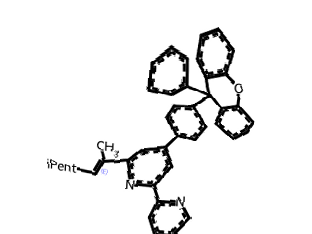 CCCC(C)/C=C(\C)c1cc(-c2ccc(C3(c4ccccc4)c4ccccc4Oc4ccccc43)cc2)cc(-c2ccccn2)n1